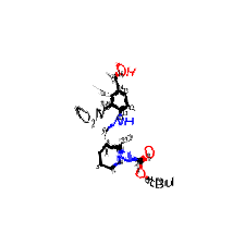 CC(C)(C)OC(=O)N1CCC[C@H](CNc2ccc(CO)cc2[N+](=O)[O-])C1